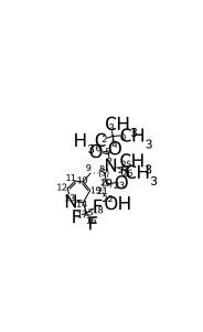 CC(C)(C)OC(=O)N1[C@@H](Cc2ccnc(C(F)(F)F)c2)[C@@H](CO)OC1(C)C